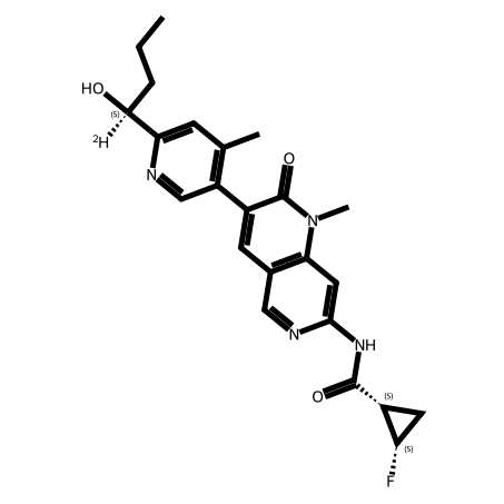 [2H][C@](O)(CCC)c1cc(C)c(-c2cc3cnc(NC(=O)[C@@H]4C[C@@H]4F)cc3n(C)c2=O)cn1